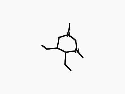 CCC1CN(C)CN(C)C1CC